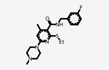 CCSc1nc(N2CCN(C)CC2)cc(C)c1C(=O)NCc1cccc(F)c1